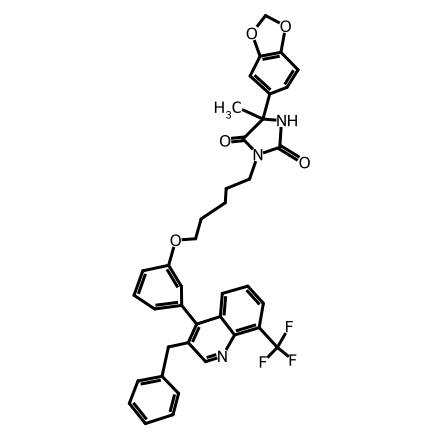 CC1(c2ccc3c(c2)OCO3)NC(=O)N(CCCCCOc2cccc(-c3c(Cc4ccccc4)cnc4c(C(F)(F)F)cccc34)c2)C1=O